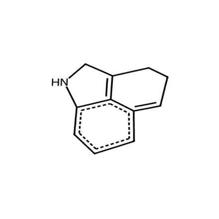 C1=c2cccc3c2=C(CC1)CN3